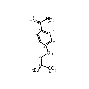 CC(C)(C)[C@@H](COc1ccc(C(=N)N)nc1)C(=O)O